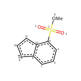 COS(=O)(=O)c1cccc2[te]ccc12